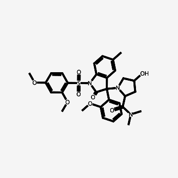 COc1ccc(S(=O)(=O)N2C(=O)C(c3ccccc3OC)(N3CC(O)CC3C(=O)N(C)C)c3cc(C)ccc32)c(OC)c1